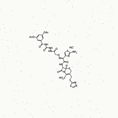 CC(=O)Oc1cc(OC(C)=O)cc(C(=O)NC(=O)NNC(=O)CON=C(C(=O)NC2C(=O)N3C(C(=O)O)=C(CSc4nncs4)CS[C@@H]23)c2csc(N)n2)c1.Cl